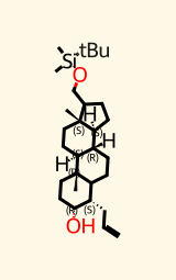 C=CC[C@H]1C2CC[C@@H]3[C@H](CC[C@]4(C)C(CO[Si](C)(C)C(C)(C)C)CC[C@@H]34)[C@@]2(C)CC[C@H]1O